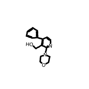 OCc1c(-c2ccccc2)ccnc1N1CCOCC1